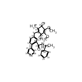 COC1=C(OC)C(=O)C(Cc2ccc(-c3ccncc3)c(C(=O)N[C@H](C)c3ccccc3)c2)=C(C)C1=O